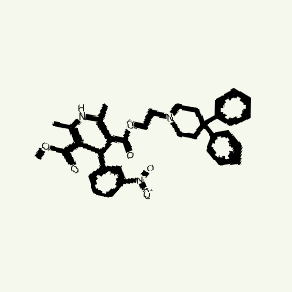 COC(=O)C1=C(C)NC(C)=C(C(=O)OCCN2CCC(c3ccccc3)(c3ccccc3)CC2)C1c1cccc([N+](=O)[O-])c1